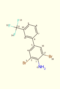 Nc1c(Br)cc(-c2cccc(C(F)(F)F)c2)cc1Br